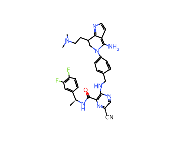 C[C@H](NC(=O)c1nc(C#N)cnc1NCc1ccc(N2CC(CCN(C)C)C3=NC=CC3=C2N)cc1)c1ccc(F)c(F)c1